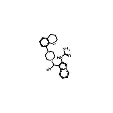 CCCC(c1c(NC(N)=O)cn2ccccc12)N1CCN(c2cccc3c2OCCC3)CC1